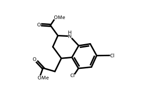 COC(=O)CC1CC(C(=O)OC)Nc2cc(Cl)cc(Cl)c21